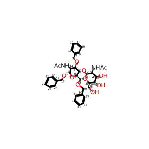 CC(=O)N[C@@H]1[C@H](O[C@H]2[C@H](OCc3ccccc3)[C@H](NC(C)=O)[C@@H](OCc3ccccc3)O[C@@H]2COCc2ccccc2)O[C@H](CO)[C@@H](O)[C@@H]1O